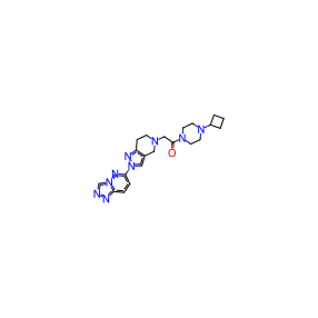 O=C(CN1CCc2nn(-c3ccc4nncn4n3)cc2C1)N1CCN(C2CCC2)CC1